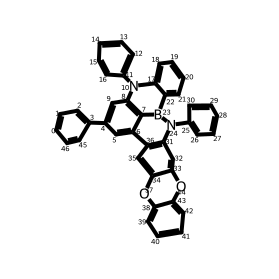 c1ccc(-c2cc3c4c(c2)N(c2ccccc2)c2ccccc2B4N(c2ccccc2)c2cc4c(cc2-3)Oc2ccccc2O4)cc1